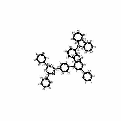 c1ccc(-c2cc(-c3ccc(-c4nc(-c5ccccc5)nc(-c5ccccc5)n4)cc3)c3c(c2)oc2c(-n4c5ccccc5c5ccccc54)cccc23)cc1